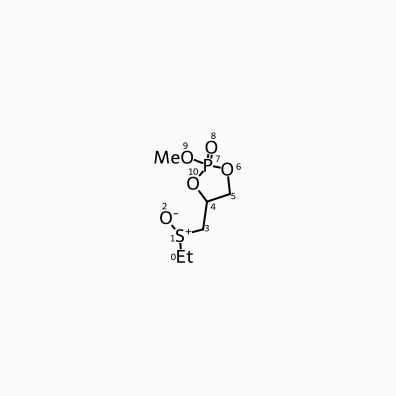 CC[S+]([O-])CC1COP(=O)(OC)O1